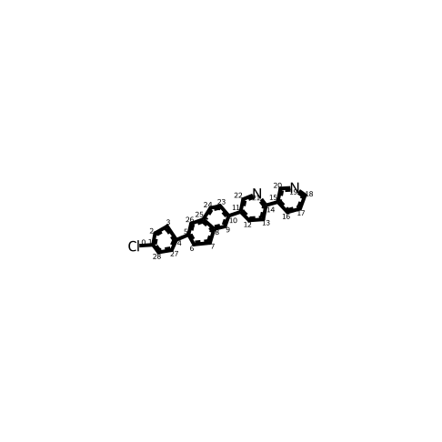 Clc1ccc(-c2ccc3cc(-c4ccc(-c5cccnc5)nc4)ccc3c2)cc1